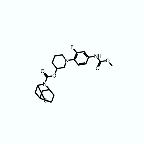 COC(=O)Nc1ccc(N2CCCC(OC(=O)N3C4CC5CC3CC(C4)O5)C2)c(F)c1